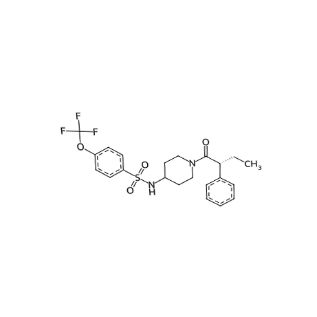 CC[C@@H](C(=O)N1CCC(NS(=O)(=O)c2ccc(OC(F)(F)F)cc2)CC1)c1ccccc1